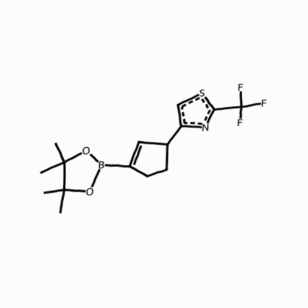 CC1(C)OB(C2=CC(c3csc(C(F)(F)F)n3)CC2)OC1(C)C